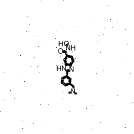 CN(C)Cc1cccc(-c2nc3ccc(C(=O)NO)cc3[nH]2)c1